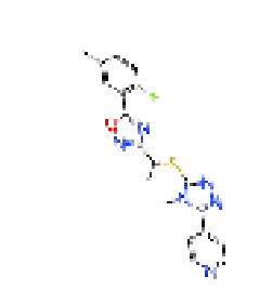 Cc1ccc(F)c(-c2nc(C(C)Sc3nnc(-c4ccncc4)n3C)no2)c1